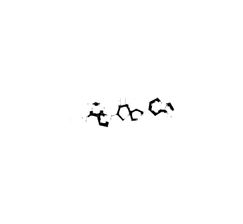 Nc1ncnc2c1ccn2[C@@H]1C[C@@]2(CO[C@@H](c3ccn4ccnc4c3)C2)[C@@H](O)[C@H]1O